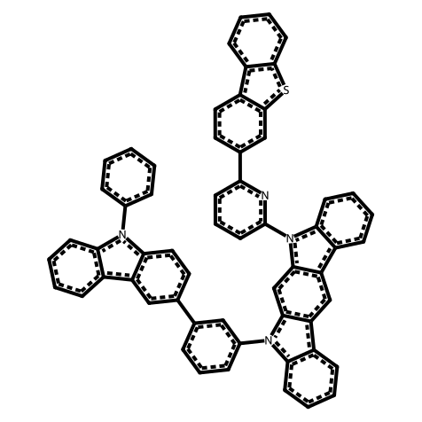 c1ccc(-n2c3ccccc3c3cc(-c4cccc(-n5c6ccccc6c6cc7c8ccccc8n(-c8cccc(-c9ccc%10c(c9)sc9ccccc9%10)n8)c7cc65)c4)ccc32)cc1